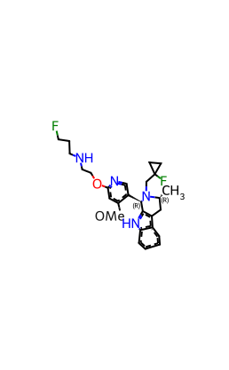 COc1cc(OCCNCCCF)ncc1[C@@H]1c2[nH]c3ccccc3c2C[C@@H](C)N1CC1(F)CC1